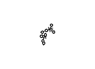 c1ccc(-c2nc(-c3ccccc3)nc(-c3ccc(-c4cccc(-c5cccc6c(-c7ccc8ccccc8c7)nc7ccccc7c56)c4)cc3)n2)cc1